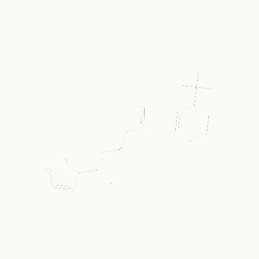 O=C(C=C(O)c1nc[nH]n1)c1cocc1Sc1cccc(C(F)(F)F)c1